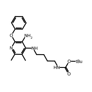 Cc1nc(Oc2ccccc2)c(N)c(NCCCCNC(=O)OC(C)(C)C)c1C